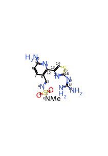 CNS(=O)(=O)/N=C/c1ccc(N)nc1-c1csc(N=C(N)N)n1